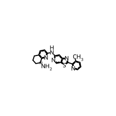 Cc1cccnc1-c1nc2cc(Nc3ccc4c(n3)[C@H](N)CCC4)ncc2s1